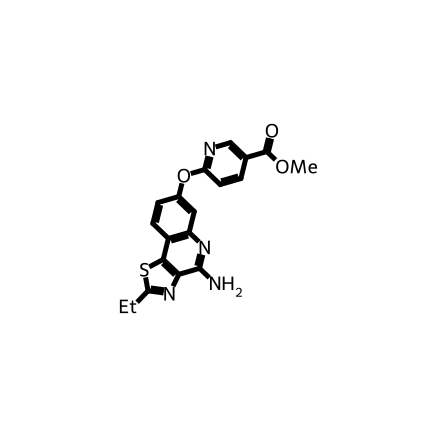 CCc1nc2c(N)nc3cc(Oc4ccc(C(=O)OC)cn4)ccc3c2s1